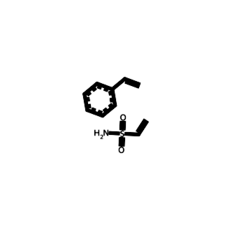 C=CS(N)(=O)=O.C=Cc1ccccc1